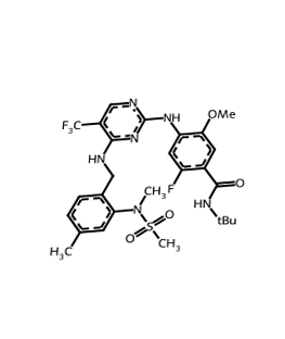 COc1cc(C(=O)NC(C)(C)C)c(F)cc1Nc1ncc(C(F)(F)F)c(NCc2ccc(C)cc2N(C)S(C)(=O)=O)n1